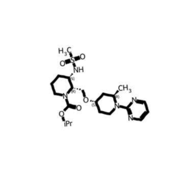 CC(C)OC(=O)N1CCC[C@H](NS(C)(=O)=O)[C@@H]1CO[C@H]1CCN(c2ncccn2)[C@H](C)C1